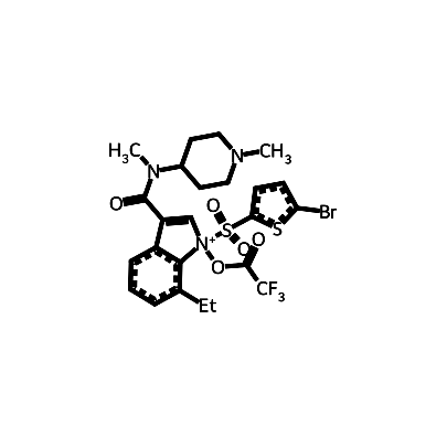 CCc1cccc2c1[N+](OC(=O)C(F)(F)F)(S(=O)(=O)c1ccc(Br)s1)C=C2C(=O)N(C)C1CCN(C)CC1